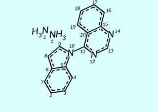 N.N.c1ccc2c(c1)ccn2-c1ncnc2ccccc12